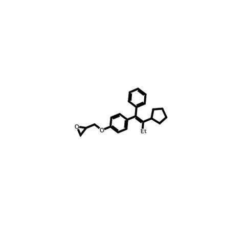 CC/C(=C(/c1ccccc1)c1ccc(OCC2CO2)cc1)C1CCCC1